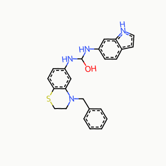 OC(Nc1ccc2c(c1)N(Cc1ccccc1)CCS2)Nc1ccc2cc[nH]c2c1